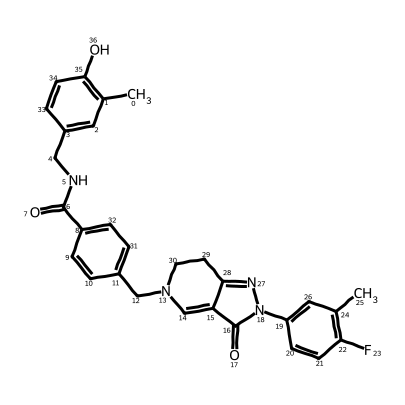 Cc1cc(CNC(=O)c2ccc(CN3C=C4C(=O)N(c5ccc(F)c(C)c5)N=C4CC3)cc2)ccc1O